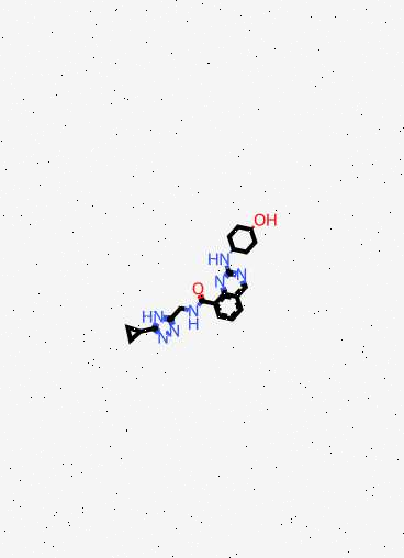 O=C(NCc1nnc(C2CC2)[nH]1)c1cccc2cnc(N[C@H]3CC[C@H](O)CC3)nc12